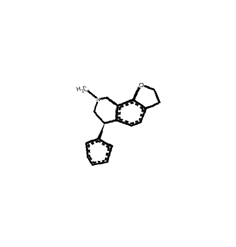 CN1Cc2c(ccc3c2OCC3)[C@@H](c2ccccc2)C1